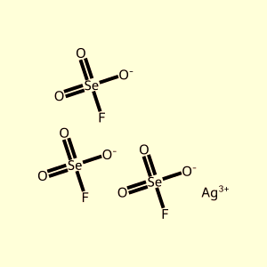 O=[Se](=O)([O-])F.O=[Se](=O)([O-])F.O=[Se](=O)([O-])F.[Ag+3]